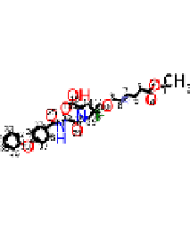 CCOC(=O)CC/C=C/COCC1(F)CC(C(=O)O)N(C(=O)CNC(=O)c2ccc(Oc3ccccc3)cc2)C1